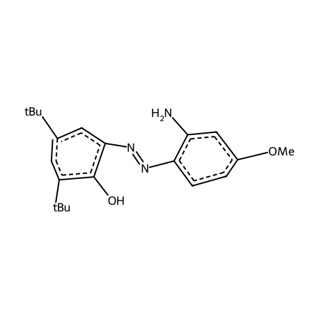 COc1ccc(/N=N/c2cc(C(C)(C)C)cc(C(C)(C)C)c2O)c(N)c1